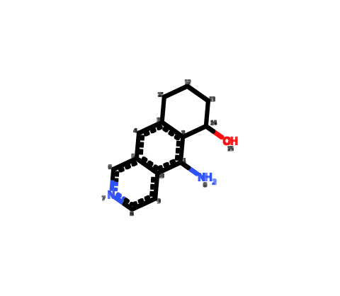 Nc1c2c(cc3cnccc13)CCCC2O